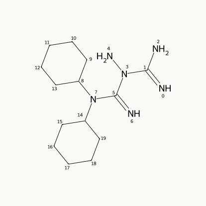 N=C(N)N(N)C(=N)N(C1CCCCC1)C1CCCCC1